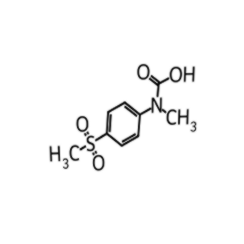 CN(C(=O)O)c1ccc(S(C)(=O)=O)cc1